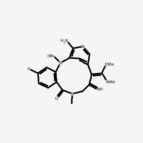 CCCCN1c2cc(F)ccc2C(=O)N(C)CC(=N)/C(=C(\NC)OC)c2cnc(N)c1c2